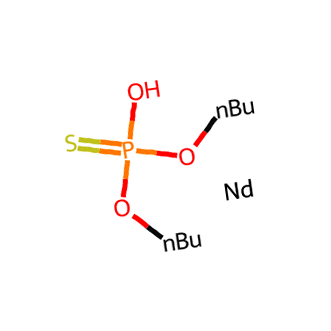 CCCCOP(O)(=S)OCCCC.[Nd]